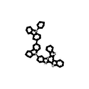 c1ccc(-n2c3ccccc3c3cc(-c4ccc5c(c4)c4ccccc4n5-c4ccc5nc6c7oc8ccccc8c7c7sc8ccccc8c7n6c5c4)ccc32)cc1